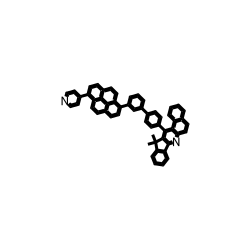 CC1(C)c2ccccc2-c2nc3ccc4ccccc4c3c(-c3ccc(-c4cccc(-c5ccc6ccc7c(-c8ccncc8)ccc8ccc5c6c87)c4)cc3)c21